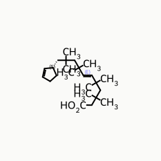 CC(C)(/C=C/C(C)(C)CC(C)(C)C[C@H]1C=CCC1)CC(C)(C)CC(=O)O